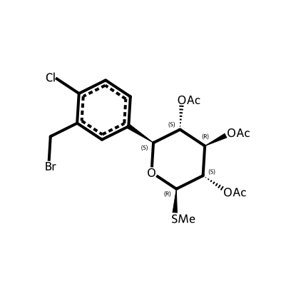 CS[C@H]1O[C@@H](c2ccc(Cl)c(CBr)c2)[C@H](OC(C)=O)[C@@H](OC(C)=O)[C@@H]1OC(C)=O